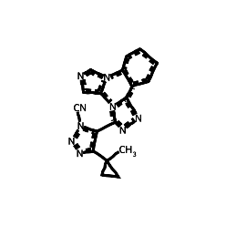 CC1(c2nnn(C#N)c2-c2nnc3c4ccccc4n4cncc4n23)CC1